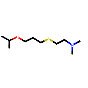 CC(C)OCCCSCCN(C)C